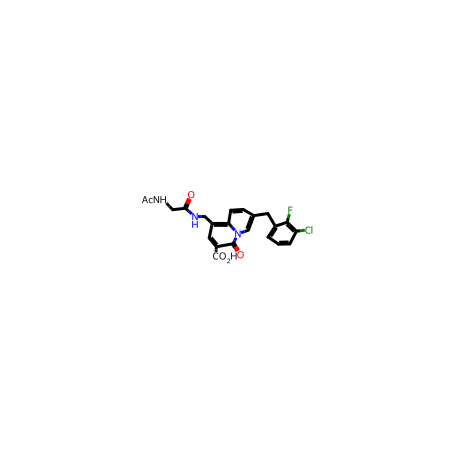 CC(=O)NCC(=O)NCc1cc(C(=O)O)c(=O)n2cc(Cc3cccc(Cl)c3F)ccc12